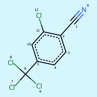 N#Cc1ccc(C(Cl)(Cl)Cl)cc1Cl